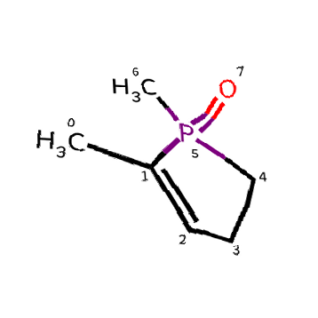 CC1=CCCP1(C)=O